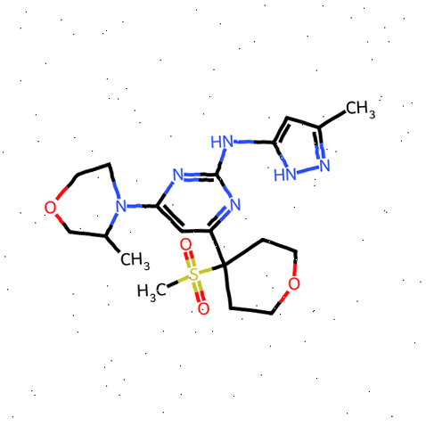 Cc1cc(Nc2nc(N3CCOCC3C)cc(C3(S(C)(=O)=O)CCOCC3)n2)[nH]n1